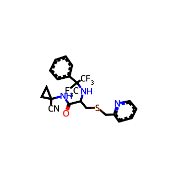 N#CC1(NC(=O)C(CSCc2ccccn2)NC(c2ccccc2)(C(F)(F)F)C(F)(F)F)CC1